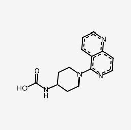 O=C(O)NC1CCN(c2nccc3ncccc23)CC1